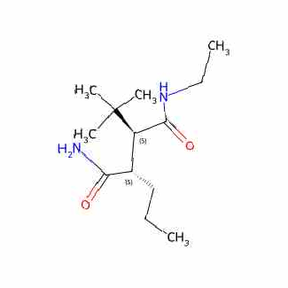 CCC[C@H](C(N)=O)[C@H](C(=O)NCC)C(C)(C)C